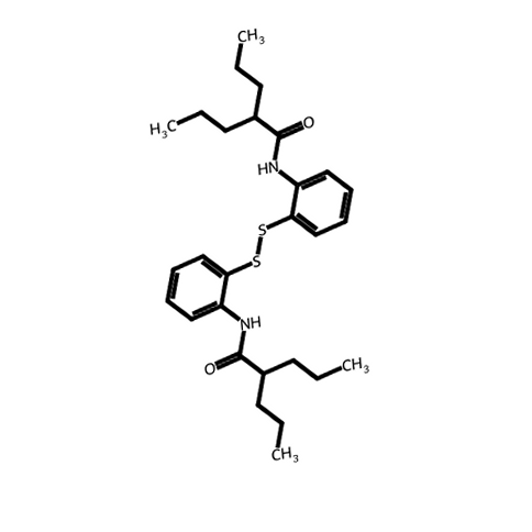 CCCC(CCC)C(=O)Nc1ccccc1SSc1ccccc1NC(=O)C(CCC)CCC